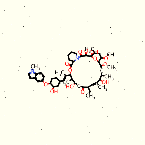 CCC1/C=C(\C)C(O)C(C)CC(OC)C2OC(O)(C(=O)C(=O)N3CCCCC3C(=O)OC(C(C)=CC3CCC(Oc4ccc5c(ccn5C)c4)C(O)C3)C(C)C(O)CC1=O)C(C)CC2OC